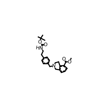 COC(=O)c1cccc2c1CCN(Cc1ccc(CCNC(=O)OC(C)(C)C)cc1)C2